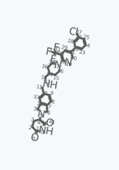 O=C1CCC(N2Cc3ccc(CNCC4CCN(c5ncc(-c6cccc(Cl)c6)cc5C(F)(F)F)CC4)cc3C2)C(=O)N1